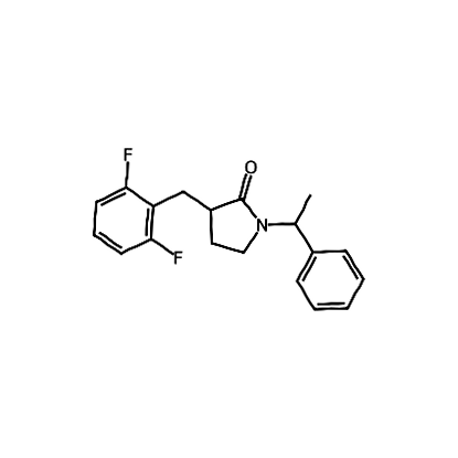 CC(c1ccccc1)N1CCC(Cc2c(F)cccc2F)C1=O